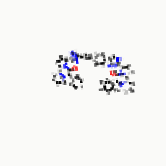 O=C([C@@H](c1ccccc1)N1CCCCC1)N1CCC[C@H]1c1ncc(C#Cc2ccc(-c3cnc([C@@H]4CCCN4C(=O)[C@@H](c4ccccc4)N4CCCCC4)[nH]3)cc2)[nH]1